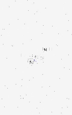 C=Nc1nc(C2CC3C(C2)C3(F)F)[nH]c1/C(=N\C)C(=O)NCc1cc(F)cc(-c2cnn(C)c2)c1